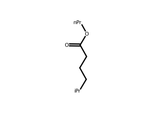 CCCOC(=O)CCCC(C)C